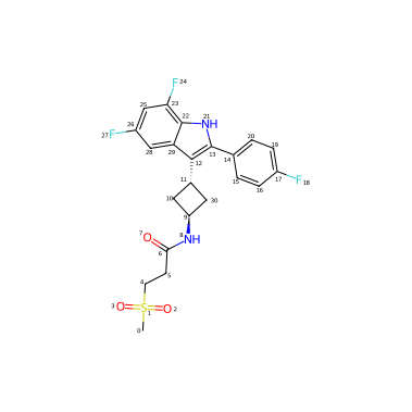 CS(=O)(=O)CCC(=O)N[C@H]1C[C@H](c2c(-c3ccc(F)cc3)[nH]c3c(F)cc(F)cc32)C1